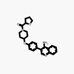 Nc1c(-c2ccc(OC3CCN(C(=O)C4CCCO4)CC3)cc2)cnc2ccccc12